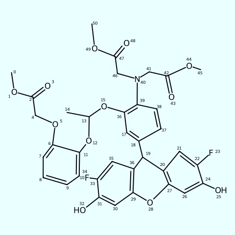 COC(=O)COc1ccccc1OC(C)Oc1cc(C2c3cc(F)c(O)cc3Oc3cc(O)c(F)cc32)ccc1N(CC(=O)OC)CC(=O)OC